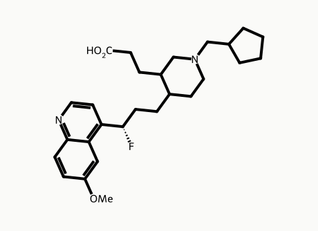 COc1ccc2nccc([C@@H](F)CCC3CCN(CC4CCCC4)CC3CCC(=O)O)c2c1